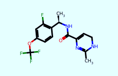 CC1=NC(C(=O)N[C@H](C)c2ccc(OC(F)(F)F)cc2F)=CCN1